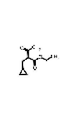 CCOC(=O)C(CC1CC1)C(C)=O